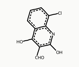 O=Cc1c(O)nc2c(Cl)cccc2c1O